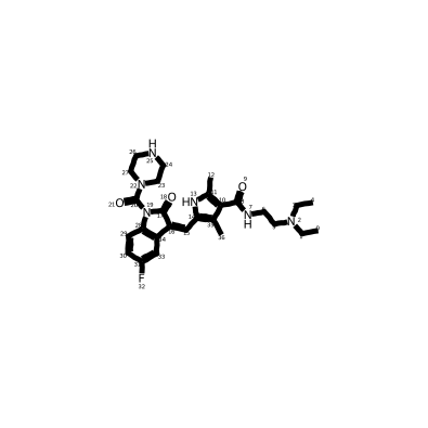 CCN(CC)CCNC(=O)c1c(C)[nH]c(/C=C2\C(=O)N(C(=O)N3CCNCC3)c3ccc(F)cc32)c1C